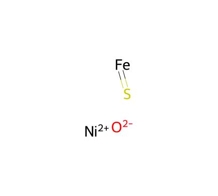 [Ni+2].[O-2].[S]=[Fe]